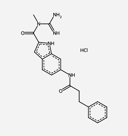 CN(C(=N)N)C(=O)c1cc2ccc(NC(=O)CCc3ccccc3)cc2[nH]1.Cl